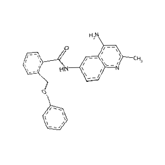 Cc1cc(N)c2cc(NC(=O)c3ccccc3COc3ccccc3)ccc2n1